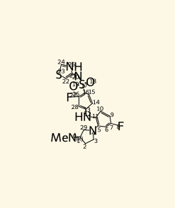 CN[C@@H]1CCN(c2cc(F)ccc2Nc2ccc(S(=O)(=O)Nc3cscn3)c(F)c2)C1